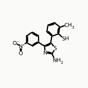 Cc1cccc(-c2sc(N)nc2-c2cccc([N+](=O)[O-])c2)c1S